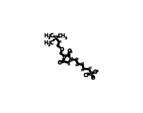 C[Si](C)(C)CCOCN1C(=O)CN(CCCCCS(=O)(=O)Cl)C1=O